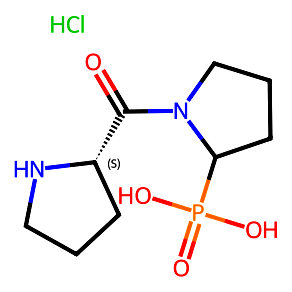 Cl.O=C([C@@H]1CCCN1)N1CCCC1P(=O)(O)O